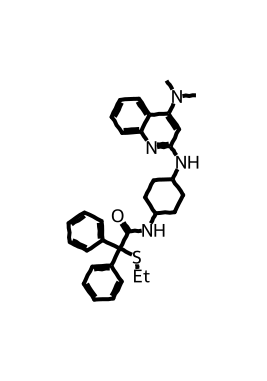 CCSC(C(=O)NC1CCC(Nc2cc(N(C)C)c3ccccc3n2)CC1)(c1ccccc1)c1ccccc1